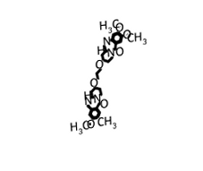 COc1cc2c(cc1C)C(=O)N1CCC(OCCCOC3CCN4C(=O)c5cc(OC)c(OC)cc5N=C[C@@H]4C3)C[C@H]1N=C2